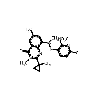 Cc1cc([C@@H](C)Nc2ccc(Cl)nc2C(=O)O)c2nc(C3(C(F)(F)F)CC3)n(C)c(=O)c2c1